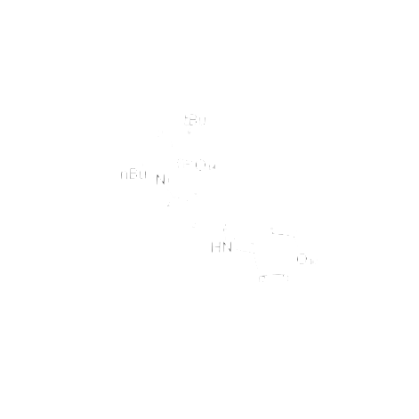 CCCCN(CCCCNC1CCOCC1)C(=O)CC(C)(C)C